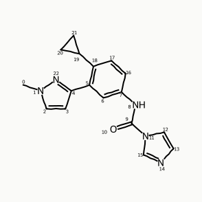 Cn1ccc(-c2cc(NC(=O)n3ccnc3)ccc2C2CC2)n1